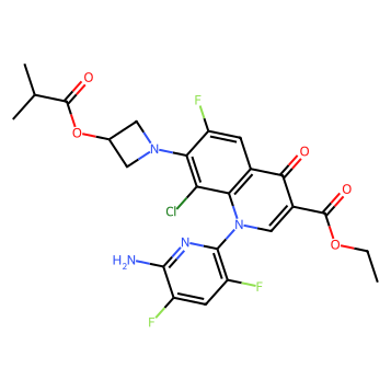 CCOC(=O)c1cn(-c2nc(N)c(F)cc2F)c2c(Cl)c(N3CC(OC(=O)C(C)C)C3)c(F)cc2c1=O